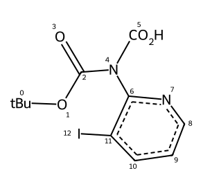 CC(C)(C)OC(=O)N(C(=O)O)c1ncccc1I